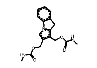 CNC(=O)OCc1cn2c(c1COC(=O)NC)Cc1ccccc1-2